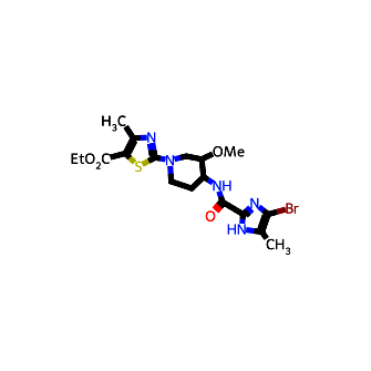 CCOC(=O)c1sc(N2CCC(NC(=O)c3nc(Br)c(C)[nH]3)C(OC)C2)nc1C